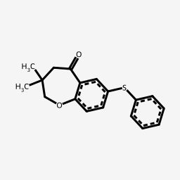 CC1(C)COc2ccc(Sc3ccccc3)cc2C(=O)C1